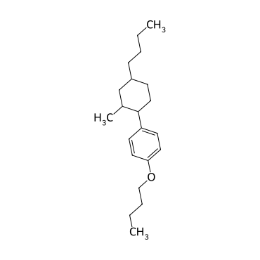 CCCCOc1ccc(C2CCC(CCCC)CC2C)cc1